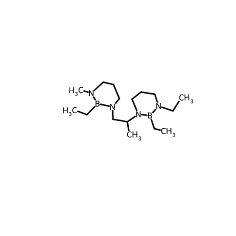 CCB1N(C)CCCN1CC(C)N1CCCN(CC)B1CC